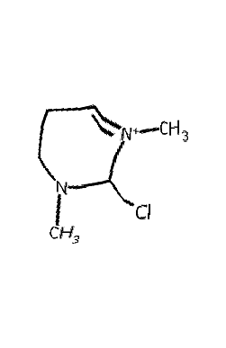 CN1CCC=[N+](C)C1Cl